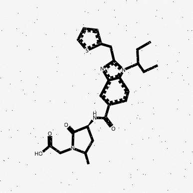 CCC(CC)n1c(Cc2cccs2)nc2cc(C(=O)N[C@H]3CC(C)N(CC(=O)O)C3=O)ccc21